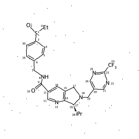 CC[S+]([O-])c1ccc(CNC(=O)c2cnc3c(c2)CN(Cc2cnc(C(F)(F)F)nc2)[C@H]3C(C)C)cc1